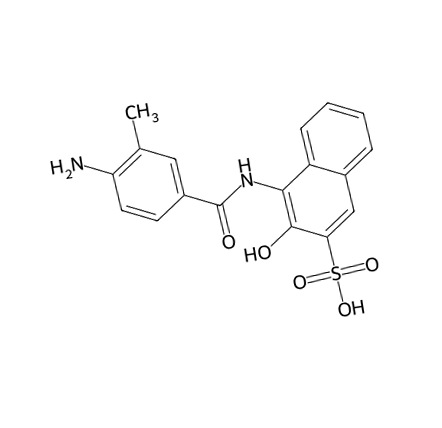 Cc1cc(C(=O)Nc2c(O)c(S(=O)(=O)O)cc3ccccc23)ccc1N